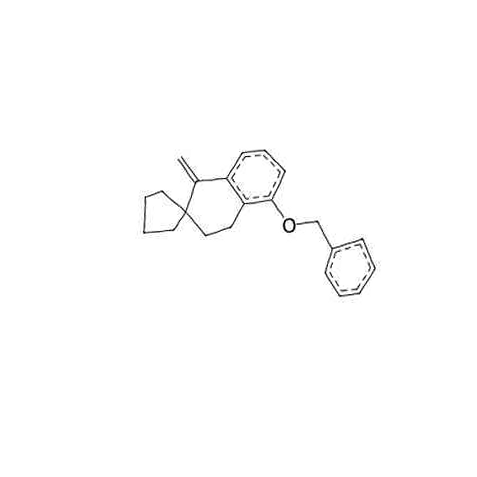 C=C1c2cccc(OCc3ccccc3)c2CCC12CCCC2